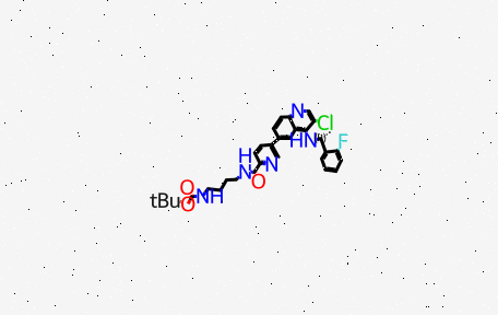 C[C@@H](Nc1c(Cl)cnc2ccc(-c3ccc(C(=O)NCCCCNC(=O)OC(C)(C)C)nc3)cc12)c1ccccc1F